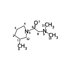 CC1CCCN(C(=O)CN(C)C)C1